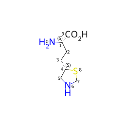 N[C@@H](CC[C@H]1CNCS1)C(=O)O